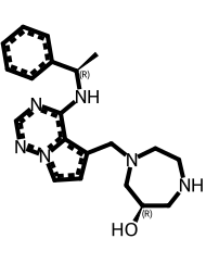 C[C@@H](Nc1ncnn2ccc(CN3CCNC[C@@H](O)C3)c12)c1ccccc1